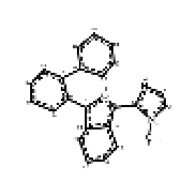 Cn1ccnc1-c1oc(-c2ccccc2-c2ccccc2)c2ccccc12